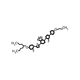 CCCCOc1ccc(-c2ccc(-c3ccc(-c4ccc(-c5ccc(OCC(CCCC)CCCC)cc5F)s4)c4nsnc34)c(F)c2)cc1